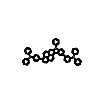 c1ccc(N(c2ccccc2)c2ccc(-c3ccc4ccc5c6c(ccc3c46)cc3c5c4cc(-c5cccc(N(c6ccccc6)c6ccccc6)c5)ccc4n3-c3ccccc3)cc2)cc1